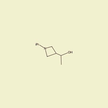 CC(O)C1CN(C(C)C)C1